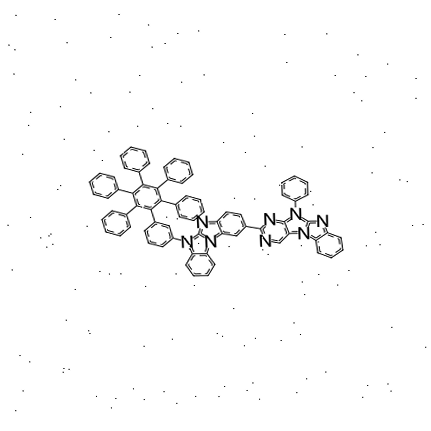 c1ccc(-c2c(-c3ccccc3)c(-c3ccccc3)c(-c3cccc(-n4c5ccccc5n5c6cc(-c7ncc8c(n7)n(-c7ccccc7)c7nc9ccccc9n87)ccc6nc45)c3)c(-c3ccccc3)c2-c2ccccc2)cc1